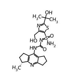 C[C@@H]1CCc2c1nc1c(c2NC(=O)N=[S@@](N)(=O)c2sc(C(C)(C)O)nc2CO)CCC1